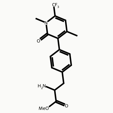 COC(=O)C(N)Cc1ccc(-c2c(C)cc(C(F)(F)F)n(C)c2=O)cc1